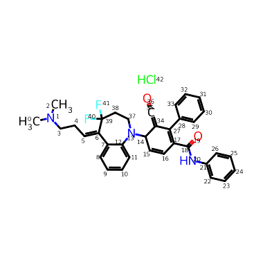 CN(C)CCC=C1c2ccccc2N(C2C=CC(C(=O)Nc3ccccc3)=C(c3ccccc3)C2=C=O)CCC1(F)F.Cl